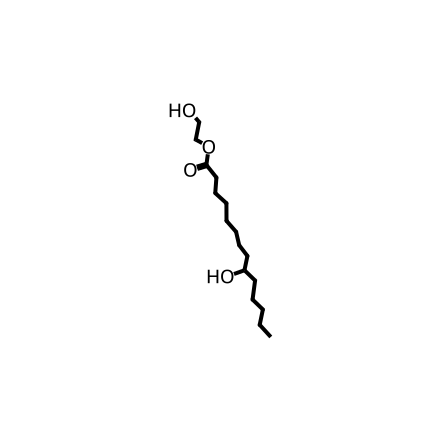 CCCCCC(O)CCCCCCCC(=O)OCCO